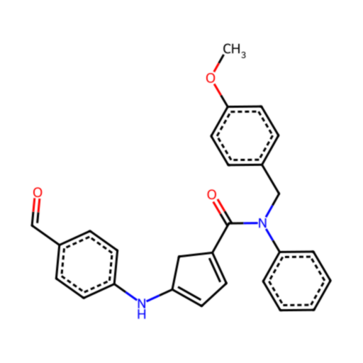 COc1ccc(CN(C(=O)C2=CC=C(Nc3ccc(C=O)cc3)C2)c2ccccc2)cc1